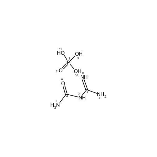 N=C(N)NC(N)=O.O=P(O)(O)O